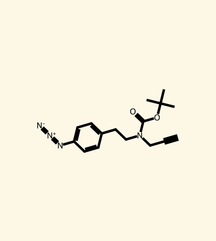 C#CCN(CCc1ccc(N=[N+]=[N-])cc1)C(=O)OC(C)(C)C